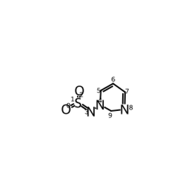 O=S(=O)=NN1C=CC=NC1